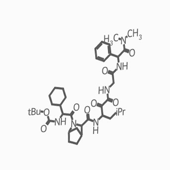 CC(C)CC(NC(=O)C1C2CCC(C2)N1C(=O)C(NC(=O)OC(C)(C)C)C1CCCCC1)C(=O)C(=O)NCC(=O)NC(C(=O)N(C)C)c1ccccc1